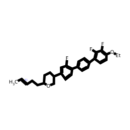 C/C=C/CCC1CCC(c2ccc(-c3ccc(-c4ccc(OCC)c(F)c4F)cc3)c(F)c2)CO1